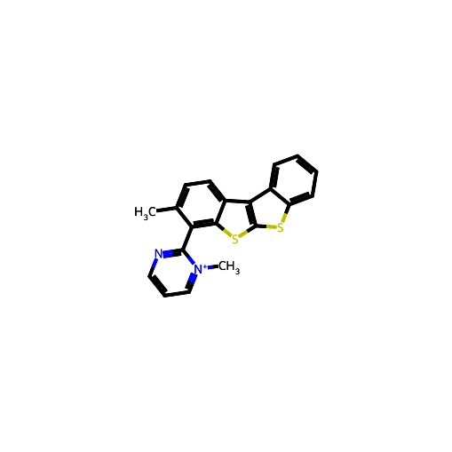 Cc1ccc2c(sc3sc4ccccc4c32)c1-c1nccc[n+]1C